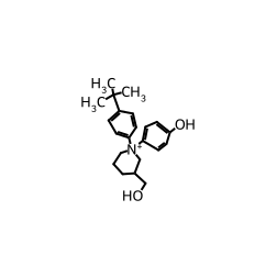 CC(C)(C)c1ccc([N+]2(c3ccc(O)cc3)CCCC(CO)C2)cc1